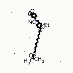 C=C(C)C(=O)OCCCCCCCCCCCOc1ccc(/C=C(\C#N)c2ccc3c(c2)OCO3)cc1OCC